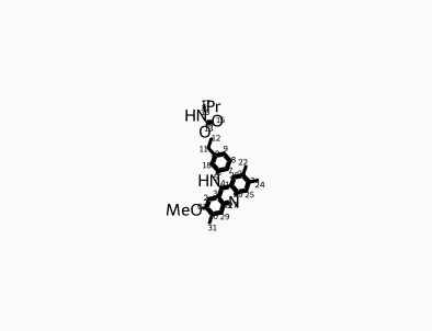 COc1cc2c(Nc3cccc(CCOC(=O)NC(C)C)c3)c3cc(C)c(C)cc3nc2cc1C